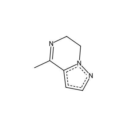 CC1=NCCn2nccc21